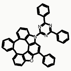 c1ccc(-c2nc(-c3ccccc3)nc(-n3c4cccc5c6ccccc6c6cccc7oc8c(-c9ccccc9)cc3c(c8c76)c54)n2)cc1